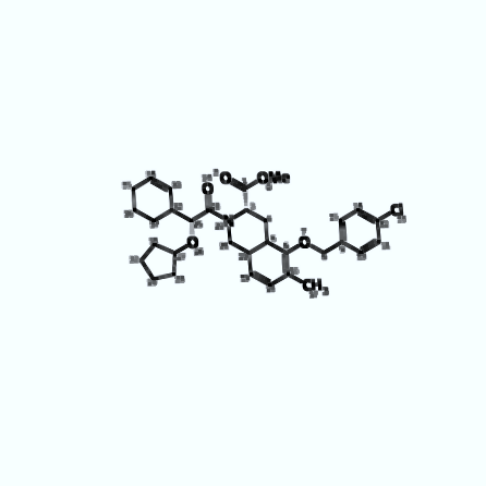 COC(=O)[C@@H]1CC2C(OCc3ccc(Cl)cc3)=C(C)C=CC2CN1C(=O)[C@H](OC1CCCC1)C1C=CCCC1